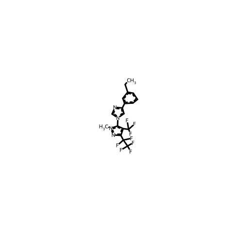 CCc1cccc(-c2cn(-c3c(C(F)(F)F)c(C(F)(F)C(F)(F)F)nn3C)cn2)c1